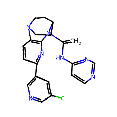 C=C(Nc1ccncn1)N1c2nc(-c3cncc(Cl)c3)ccc2N2CCC1CC2